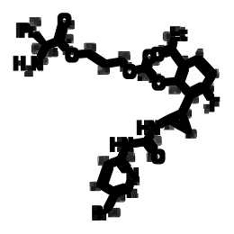 CCC(=O)c1ccc(F)c(C2CC2NC(=O)Nc2ccc(Br)cn2)c1OC(=O)OCCCOC(=O)[C@@H](N)C(C)C